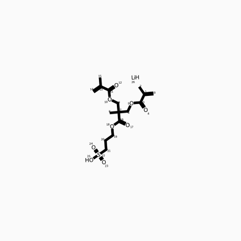 C=C(C)C(=O)OCC(C)(COC(=O)C(=C)C)C(=O)OCCCS(=O)(=O)O.[LiH]